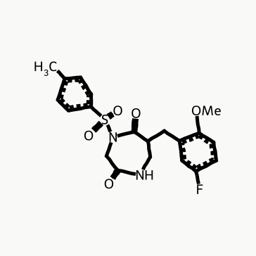 COc1ccc(F)cc1CC1CNC(=O)CN(S(=O)(=O)c2ccc(C)cc2)C1=O